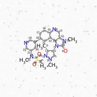 Cc1nn(C)cc1-n1c(=O)n(C)c2cnc3ccc(-c4cncc(N(C)S(C)(=O)=O)c4)cc3c21